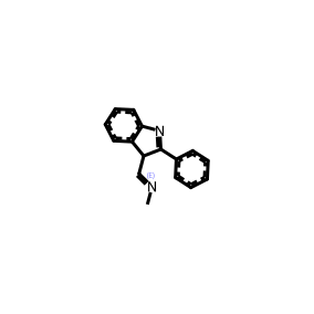 C/N=C/C1C(c2ccccc2)=Nc2ccccc21